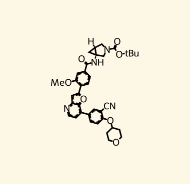 COc1cc(C(=O)N[C@@]23C[C@@H]2CN(C(=O)OC(C)(C)C)C3)ccc1-c1cc2nccc(-c3ccc(OC4CCOCC4)c(C#N)c3)c2o1